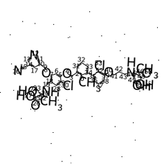 Cc1c(COc2cc(OCc3cncc(C#N)c3)c(CNC(C)(CO)C(=O)O)cc2Cl)cccc1-c1cccc(OCCCN[C@](C)(CO)C(=O)O)c1Cl